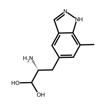 Cc1cc(C[C@@H](N)C(O)O)cc2cn[nH]c12